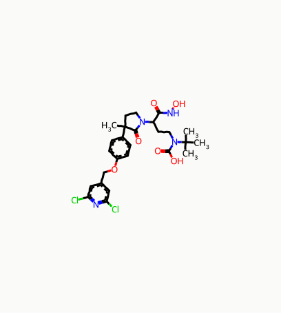 CC1(c2ccc(OCc3cc(Cl)nc(Cl)c3)cc2)CCN(C(CCN(C(=O)O)C(C)(C)C)C(=O)NO)C1=O